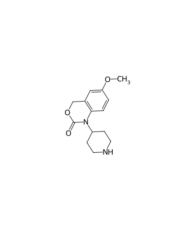 COc1ccc2c(c1)COC(=O)N2C1CCNCC1